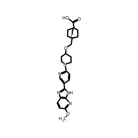 COc1ccc2nc(-c3ccc(N4CCC(OCC56CCC(C(=O)O)(CC5)CC6)CC4)nc3)[nH]c2n1